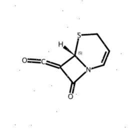 O=C=C1C(=O)N2C=CCS[C@@H]12